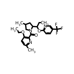 CCOc1ccc(C)nc1C(=O)N1CC(C)CC1C(CC)Oc1ccc(C(F)(F)F)cn1